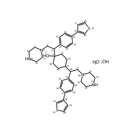 Cl.Cl.OC1(C(CN2CCNCC2)c2ccc(-c3ccsc3)cc2)CCC(C(CN2CCNCC2)c2ccc(-c3ccsc3)cc2)CC1